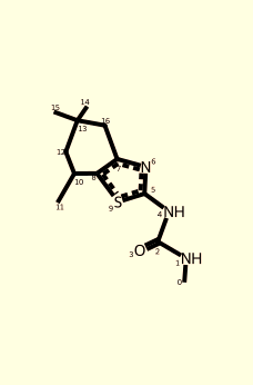 CNC(=O)Nc1nc2c(s1)C(C)CC(C)(C)C2